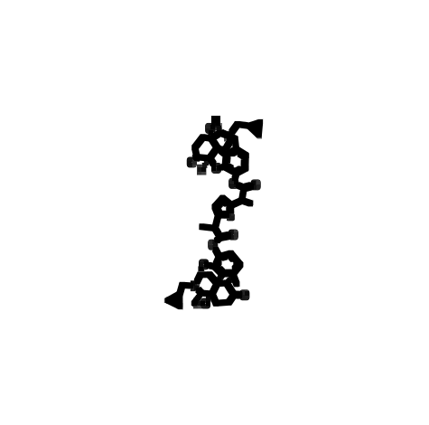 COc1c(OC(=O)C(C)c2ccc(C(C)C(=O)Oc3ccc4c5c3O[C@H]3C(=O)CC[C@@]6(O)[C@@H](C4)N(CC4CC4)CC[C@]536)s2)ccc(C)c1[C@]12CCN(CC3CC3)[C@H](C)[C@]1(O)CCC(=O)[C@@H]2C